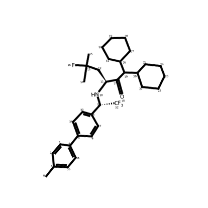 Cc1ccc(-c2ccc([C@H](N[C@@H](CC(C)(C)F)C(=O)C(C3CCCCC3)C3CCCCC3)C(F)(F)F)cc2)cc1